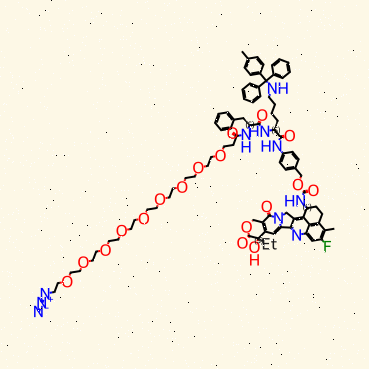 CC[C@@]1(O)C(=O)OCc2c1cc1n(c2=O)Cc2c-1nc1cc(F)c(C)c3c1c2[C@@H](NC(=O)OCc1ccc(NC(=O)[C@H](CCCCNC(c2ccccc2)(c2ccccc2)c2ccc(C)cc2)NC(=O)[C@H](Cc2ccccc2)NC(=O)CCOCCOCCOCCOCCOCCOCCOCCOCCOCCN=[N+]=[N-])cc1)CC3